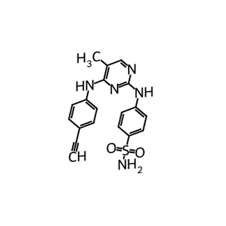 C#Cc1ccc(Nc2nc(Nc3ccc(S(N)(=O)=O)cc3)ncc2C)cc1